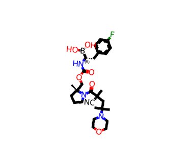 CC(C#N)(CC(C)(C)N1CCOCC1)C(=O)N1CCC[C@]1(C)COC(=O)N[C@@H](Cc1ccc(F)cc1)B(O)O